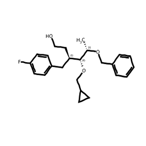 C[C@H](OCc1ccccc1)[C@H](OCC1CC1)[C@H](CCO)Cc1ccc(F)cc1